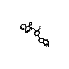 O=c1c2ccncc2ncn1Cc1ccc(-c2ccc3cnccc3c2)cc1F